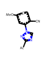 COc1ccc(C#N)c(-n2cnc(C(C)=O)n2)c1